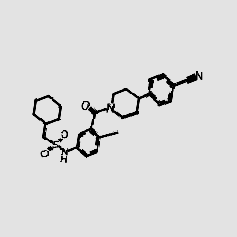 Cc1ccc(NS(=O)(=O)CC2CCCCC2)cc1C(=O)N1CCC(c2ccc(C#N)cc2)CC1